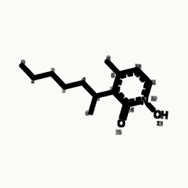 CCCCCC(C)c1c(C)ccn(O)c1=O